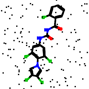 O=C(NC(=O)c1ccccc1Cl)Nc1cc(Cl)c(-n2cc(Cl)c(Cl)c2)c(Cl)c1